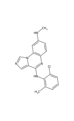 CNc1ccc2nc(Nc3c(C)cccc3Cl)c3cncn3c2c1